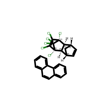 ClC1=C(Cl)[C@]2(Cl)[C@H]3[C@H]([C@@H]4C=C[C@H]3C4)[C@@]1(Cl)C2(Cl)Cl.c1ccc2c(c1)ccc1ccccc12